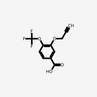 C#CCOc1cc(C(=O)O)ccc1OC(F)(F)F